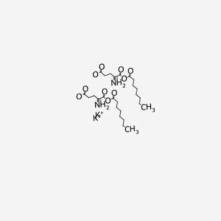 CCCCCCCC(=O)OC(=O)[C@@H](N)CCC(=O)[O-].CCCCCCCC(=O)OC(=O)[C@@H](N)CCC(=O)[O-].[K+].[K+]